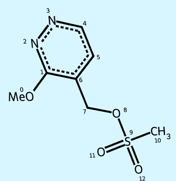 COc1nnccc1COS(C)(=O)=O